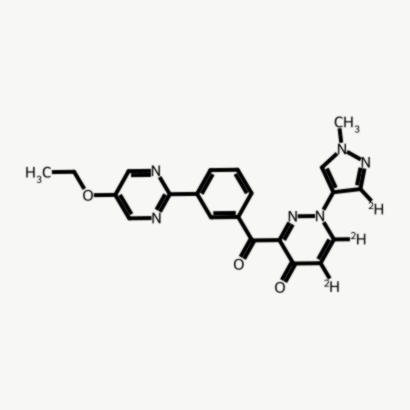 [2H]c1nn(C)cc1-n1nc(C(=O)c2cccc(-c3ncc(OCC)cn3)c2)c(=O)c([2H])c1[2H]